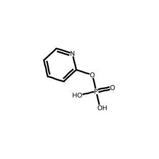 O=P(O)(O)Oc1ccccn1